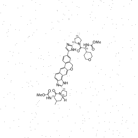 COC(=O)N[C@@H]1C(=O)N2[C@H](CC[C@H]2c2nc3ccc4cc5c(cc4c3[nH]2)OCc2cc(-c3cnc([C@@H]4C[C@H](C)CN4C(=O)[C@@H](NC(=O)OC)C4CCOCC4)[nH]3)ccc2-5)CC1C